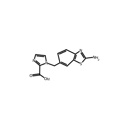 Nc1nc2ccc(Cn3ccnc3C(=O)O)cc2s1